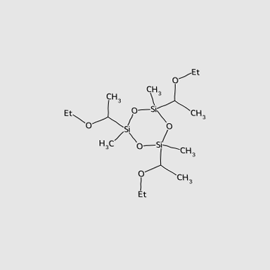 CCOC(C)[Si]1(C)O[Si](C)(C(C)OCC)O[Si](C)(C(C)OCC)O1